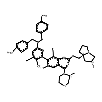 COc1ccc(CN(Cc2ccc(OC)cc2)c2cc(C)c(C(F)(F)F)c(-c3c(Cl)cc4c(N5CCOC[C@@H]5C)nc(OC[C@@]56CCCN5C[C@H](F)C6)nc4c3F)n2)cc1